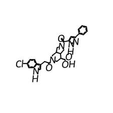 O=C(O)C1CN(C(=O)Cc2c[nH]c3cc(Cl)ccc23)CC2CN(C(=O)c3cc(-c4ccccc4)n[nH]3)CC21